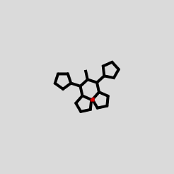 CC(C(C1CCCC1)C1CCCC1)C(C1CCCC1)C1CCCC1